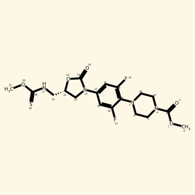 COC(=O)N1CCN(c2c(F)cc(N3C[C@H](CNC(=S)OC)OC3=O)cc2F)CC1